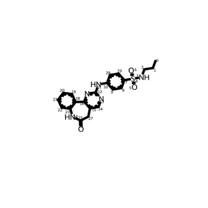 CCCNS(=O)(=O)c1ccc(Nc2ncc3c(n2)-c2ccccc2NC(=O)C3)cc1